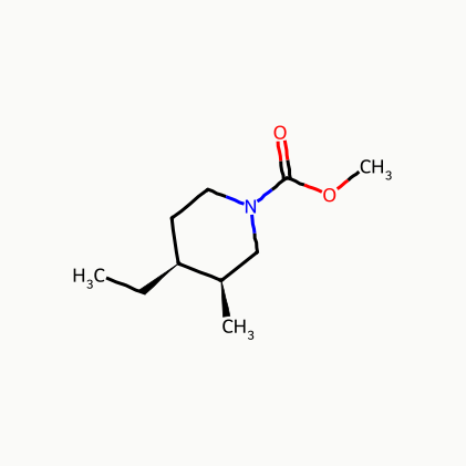 CC[C@H]1CCN(C(=O)OC)C[C@H]1C